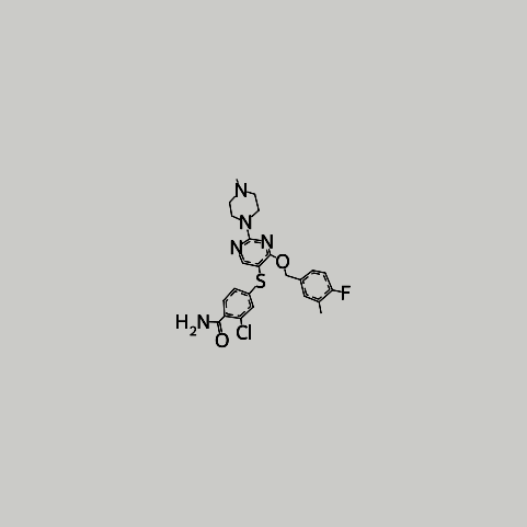 Cc1cc(COc2nc(N3CCN(C)CC3)ncc2Sc2ccc(C(N)=O)c(Cl)c2)ccc1F